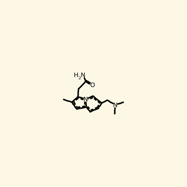 Cc1cc2ccc(CN(C)C)cn2c1CC(N)=O